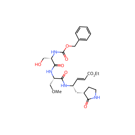 CCOC(=O)/C=C/[C@H](C[C@@H]1CCNC1=O)NC(=O)[C@H](COC)NC(=O)[C@H](CO)NC(=O)OCc1ccccc1